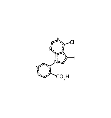 O=C(O)c1ccncc1-n1cc(I)c2c(Cl)ncnc21